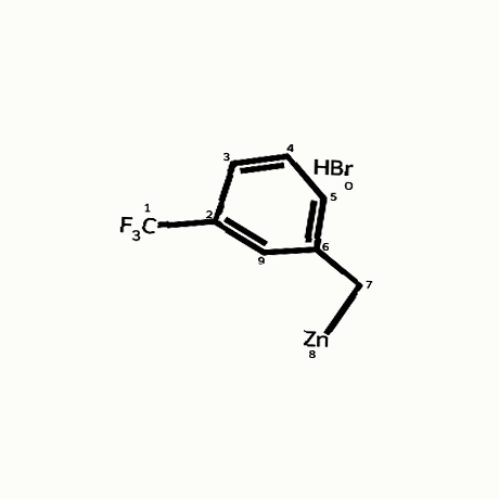 Br.FC(F)(F)c1cccc([CH2][Zn])c1